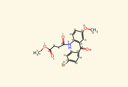 COC(=O)CCC(=O)Nc1ccc(OC)cc1C(=O)c1ccc(Br)cc1